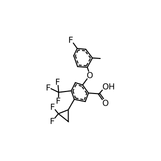 Cc1cc(F)ccc1Oc1cc(C(F)(F)F)c(C2CC2(F)F)cc1C(=O)O